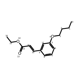 CCCCOc1cccc(C=CC(=O)OCC)c1